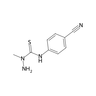 CN(N)C(=S)Nc1ccc(C#N)cc1